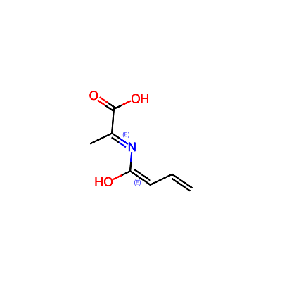 C=C/C=C(O)\N=C(/C)C(=O)O